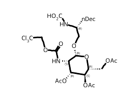 CCCCCCCCCC[C@H](CO[C@@H]1O[C@H](COC(C)=O)[C@@H](OC(C)=O)[C@H](OC(C)=O)[C@@H]1NC(=O)OCC(Cl)(Cl)Cl)NC(=O)O